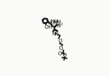 CC(C)(C)OC(=O)COCCOCCn1cc(C(/C=C(\N)c2ccccc2O)=C(N)N)cn1